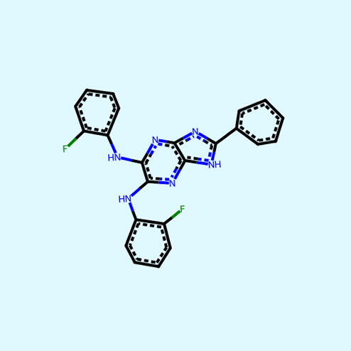 Fc1ccccc1Nc1nc2nc(-c3ccccc3)[nH]c2nc1Nc1ccccc1F